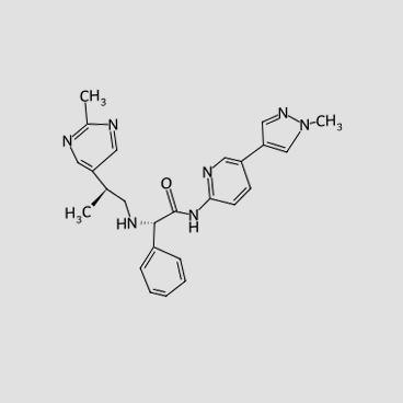 Cc1ncc([C@H](C)CN[C@H](C(=O)Nc2ccc(-c3cnn(C)c3)cn2)c2ccccc2)cn1